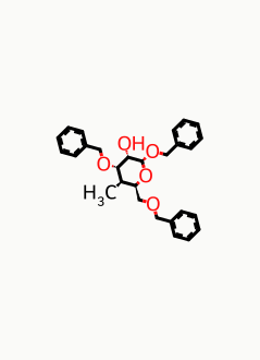 C[C@H]1[C@H](OCc2ccccc2)[C@H](O)[C@@H](OCc2ccccc2)O[C@H]1COCc1ccccc1